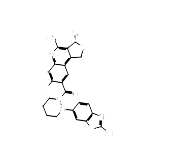 Cc1nc2ccc(N3CCCCN3C(=O)c3cc4c5c(c(N)nc4cc3F)[C@@H](C)OC5)cc2s1